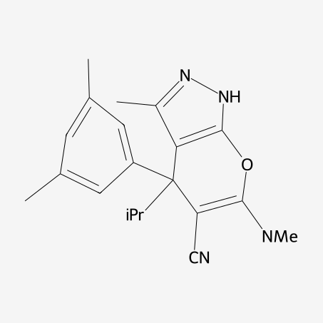 CNC1=C(C#N)C(c2cc(C)cc(C)c2)(C(C)C)c2c(C)n[nH]c2O1